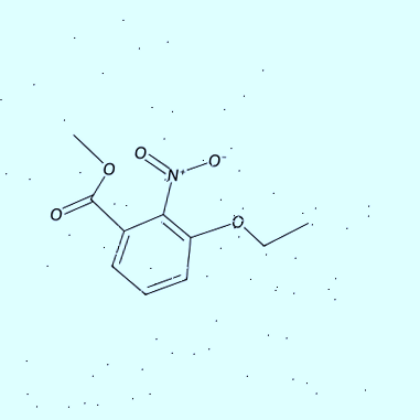 CCOc1cccc(C(=O)OC)c1[N+](=O)[O-]